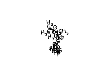 CCC(C)(COC(=O)C(C)C)C(=O)OCC(=O)OC(C(F)(F)F)C(F)(F)F